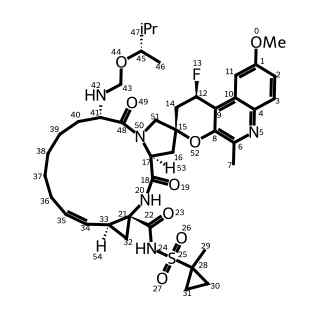 COc1ccc2nc(C)c3c(c2c1)[C@H](F)C[C@]1(C[C@H]2C(=O)N[C@]4(C(=O)NS(=O)(=O)C5(C)CC5)C[C@H]4/C=C\CCCCC[C@H](NCO[C@@H](C)C(C)C)C(=O)N2C1)O3